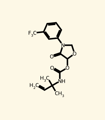 C=CC(C)(C)NC(=O)OC1OCN(c2cccc(C(F)(F)F)c2)C1=O